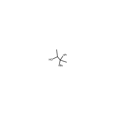 CCCCC(C)(CCC)C(C)O